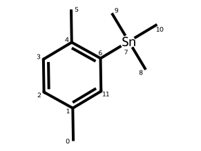 Cc1ccc(C)[c]([Sn]([CH3])([CH3])[CH3])c1